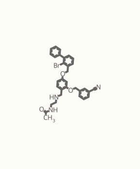 CC(=O)NCCNCc1ccc(OCc2cccc(-c3ccccc3)c2Br)cc1OCc1cccc(C#N)c1